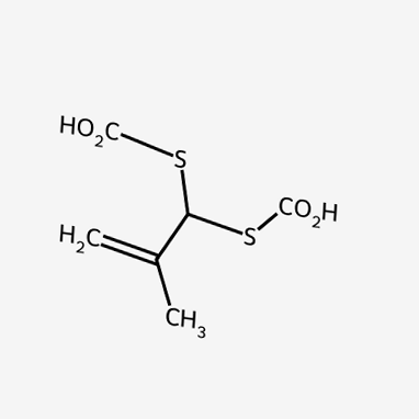 C=C(C)C(SC(=O)O)SC(=O)O